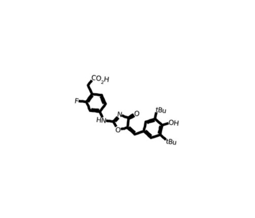 CC(C)(C)c1cc(C=C2OC(Nc3ccc(CC(=O)O)c(F)c3)=NC2=O)cc(C(C)(C)C)c1O